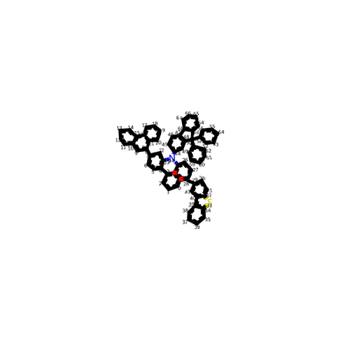 c1ccc(-c2ccc(-c3cc4ccccc4c4ccccc34)cc2N(c2ccc(-c3ccc4sc5ccccc5c4c3)cc2)c2ccc3c(c2)C(c2ccccc2)(c2ccccc2)c2ccccc2-3)cc1